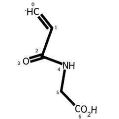 [CH]=CC(=O)NCC(=O)O